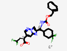 O=C(N[C@H](c1cn2ncc([C@H](CC(F)F)C(=O)[O-])cc2n1)C1CCC(F)(F)CC1)OCc1ccccc1.[Li+]